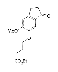 CCOC(=O)CCCOc1cc2c(cc1OC)CCC2=O